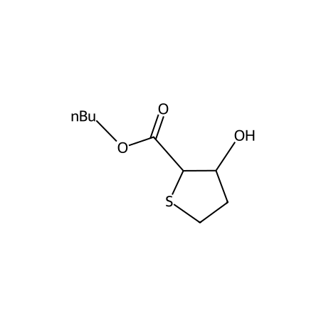 CCCCOC(=O)C1SCCC1O